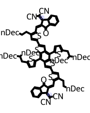 [C-]#[N+]/C(C#N)=C1\C(=Cc2sc(-c3cc4c(-c5ccc(CC(CCCCCCCCCC)CCCCCCCCCC)s5)c5sc(-c6cc(CCCCCCCCCCCC)c(C=C7C(=O)c8ccccc8/C7=C(/C#N)[N+]#[C-])s6)cc5c(-c5ccc(CC(CCCCCCCCCC)CCCCCCCCCC)s5)c4s3)cc2CCCCCCCCCCCC)C(=O)c2ccccc21